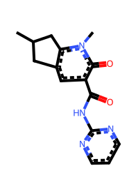 CC1Cc2cc(C(=O)Nc3ncccn3)c(=O)n(C)c2C1